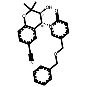 CC1(C)Oc2ccc(C#N)cc2[C@@H](n2cc(COCc3ccccc3)ccc2=O)[C@@H]1O